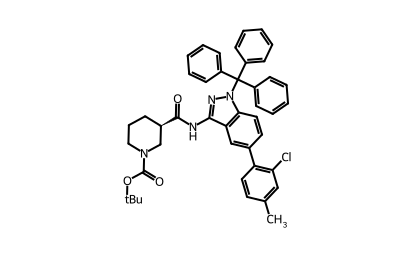 Cc1ccc(-c2ccc3c(c2)c(NC(=O)[C@@H]2CCCN(C(=O)OC(C)(C)C)C2)nn3C(c2ccccc2)(c2ccccc2)c2ccccc2)c(Cl)c1